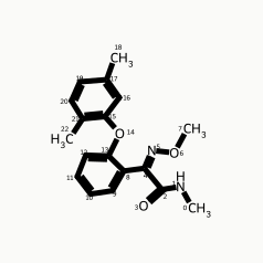 CNC(=O)C(=NOC)c1ccccc1Oc1cc(C)ccc1C